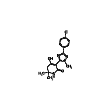 Cc1sc(-c2ccc(Cl)cc2)nc1C1=C(O)CC(C)(C)NC1=O